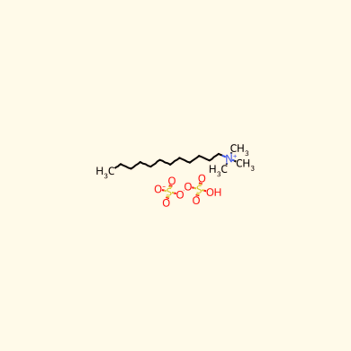 CCCCCCCCCCCC[N+](C)(C)C.O=S(=O)([O-])OOS(=O)(=O)O